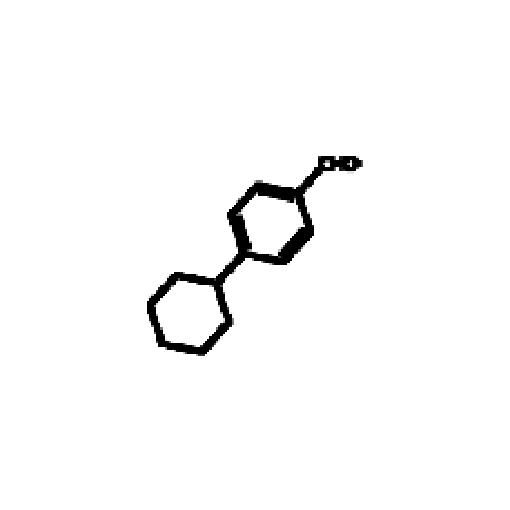 O=[C]c1ccc(C2CCCCC2)cc1